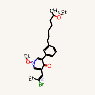 CCOC(C)CCCCCc1cccc(-c2cn(OCC)cc(/C=C(/Br)CC)c2=O)c1